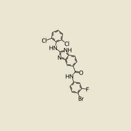 O=C(Nc1ccc(Br)c(F)c1)c1ccc2[nH]c(Nc3c(Cl)cccc3Cl)nc2c1